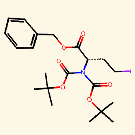 CC(C)(C)OC(=O)N(C(=O)OC(C)(C)C)[C@@H](CCI)C(=O)OCc1ccccc1